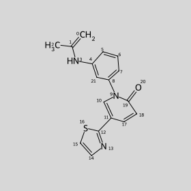 C=C(C)Nc1cccc(-n2cc(-c3nccs3)ccc2=O)c1